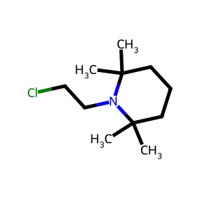 CC1(C)CCCC(C)(C)N1CCCl